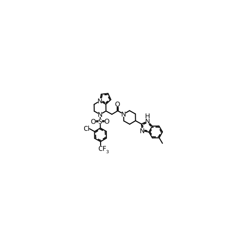 Cc1ccc2[nH]c(C3CCN(C(=O)CC4c5cccn5CCN4S(=O)(=O)c4ccc(C(F)(F)F)cc4Cl)CC3)nc2c1